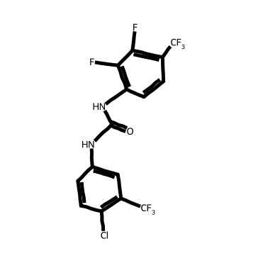 O=C(Nc1ccc(Cl)c(C(F)(F)F)c1)Nc1ccc(C(F)(F)F)c(F)c1F